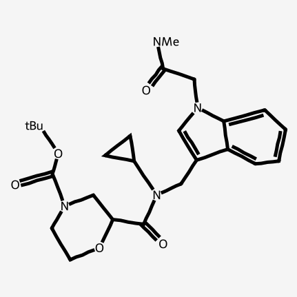 CNC(=O)Cn1cc(CN(C(=O)C2CN(C(=O)OC(C)(C)C)CCO2)C2CC2)c2ccccc21